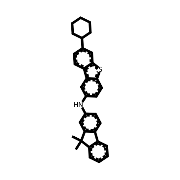 CC1(C)c2ccccc2-c2ccc(Nc3ccc4sc5cc(C6CCCCC6)ccc5c4c3)cc21